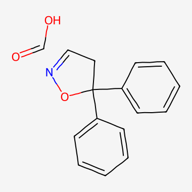 C1=NOC(c2ccccc2)(c2ccccc2)C1.O=CO